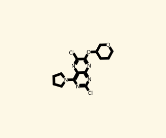 Clc1nc(N2CCCC2)c2nc(Cl)c(OC3CCCOC3)nc2n1